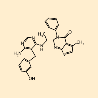 CC1=C2C(=O)N(c3ccccc3)[C@@H](C(C)Nc3ncnc(N)c3Cc3cccc(O)c3)N=C2N=C1